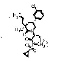 C=CC[C@@]1(C)C[C@H](c2cccc(Cl)c2)CN(C(CC)C(=O)N(C)S(=O)(=O)C2CC2)C1=O